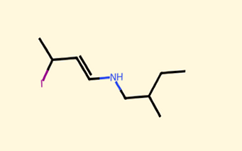 CCC(C)CN/C=C/C(C)I